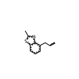 C=CCc1cccc2sc(C)nc12